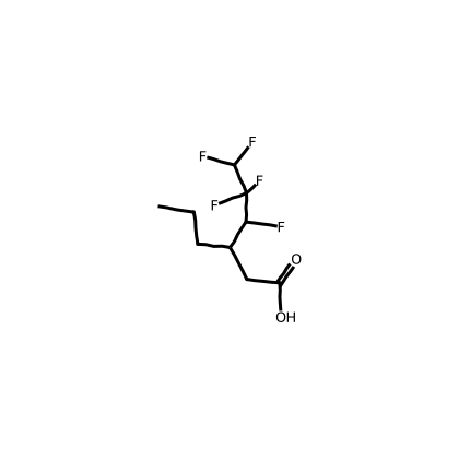 CCCC(CC(=O)O)C(F)C(F)(F)C(F)F